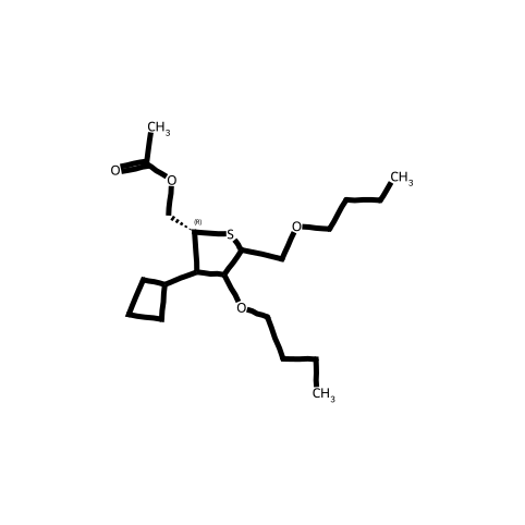 CCCCOCC1S[C@@H](COC(C)=O)C(C2CCC2)C1OCCCC